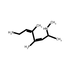 CNC(C)/C=C(P)\C(C)=C/CN